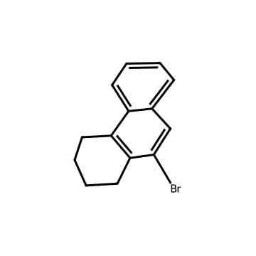 Brc1cc2ccccc2c2c1CCCC2